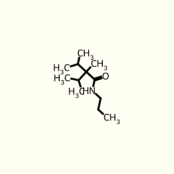 CCCNC(=O)C(C)(C(C)C)C(C)C